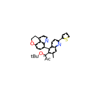 CC(=O)[C@@H](OC(C)(C)C)c1c(C)cc2nc(-c3cccs3)ccc2c1-c1ccc2c3c(ccnc13)CCO2